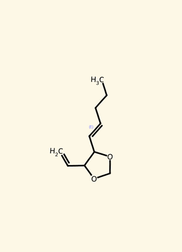 C=CC1OCOC1/C=C/CCC